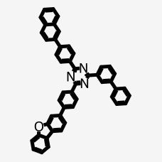 c1ccc(-c2cccc(-c3nc(-c4ccc(-c5ccc6ccccc6c5)cc4)nc(-c4ccc(-c5ccc6c(c5)oc5ccccc56)cc4)n3)c2)cc1